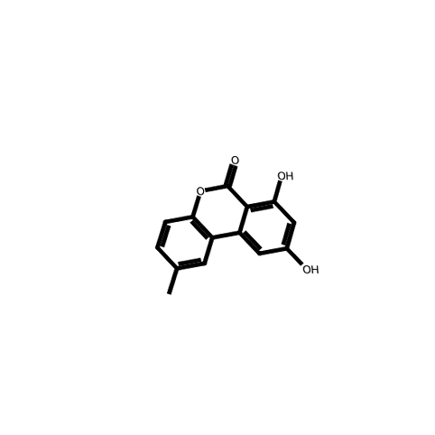 Cc1ccc2oc(=O)c3c(O)cc(O)cc3c2c1